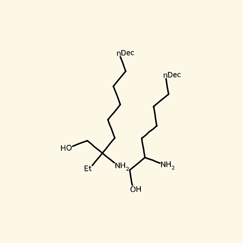 CCCCCCCCCCCCCCC(N)CO.CCCCCCCCCCCCCCCC(N)(CC)CO